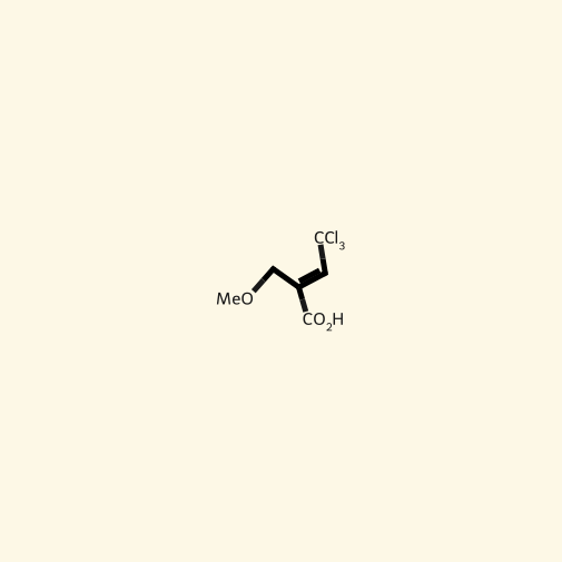 COC/C(=C\C(Cl)(Cl)Cl)C(=O)O